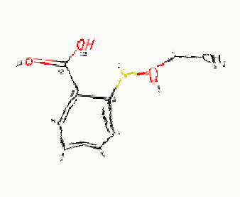 CCOSc1ccccc1C(=O)O